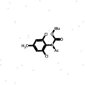 CC(=O)N(C(=O)OC(C)(C)C)c1c(Cl)cc(C)cc1Cl